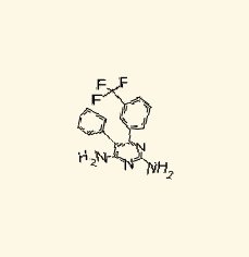 Nc1nc(N)c(-c2ccccc2)c(-c2cccc(C(F)(F)F)c2)n1